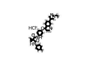 Cl.O=C(Nc1ccc(F)cc1)C1(C(=O)Nc2ccc(Oc3ccnc4cc(-c5cnn(CF)c5)ccc34)cc2)CC1